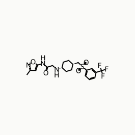 Cc1cc(NC(=O)CN[C@H]2CC[C@H](CS(=O)(=O)c3cccc(C(F)(F)F)c3)CC2)on1